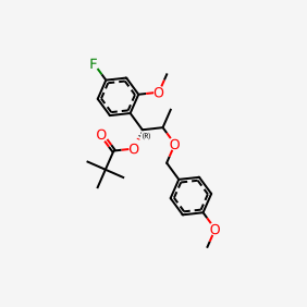 COc1ccc(COC(C)[C@H](OC(=O)C(C)(C)C)c2ccc(F)cc2OC)cc1